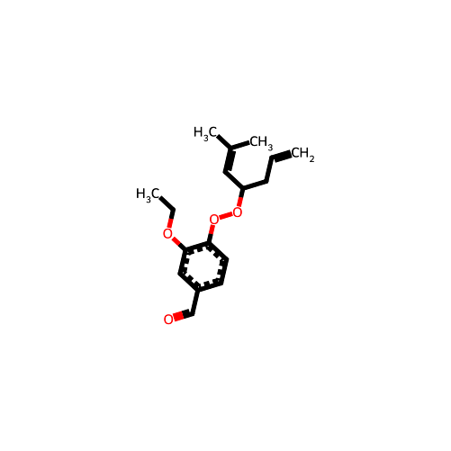 C=CCC(C=C(C)C)OOc1ccc(C=O)cc1OCC